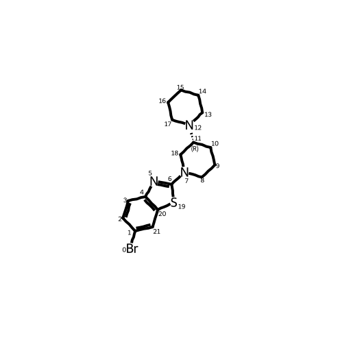 Brc1ccc2nc(N3CCC[C@@H](N4CCCCC4)C3)sc2c1